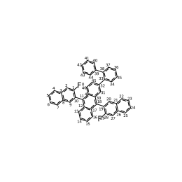 Fc1cc2ccccc2cc1-c1c2ccccc2c(-c2cc3ccccc3cc2F)c2cc(-c3ccccc3-c3ccccc3)ccc12